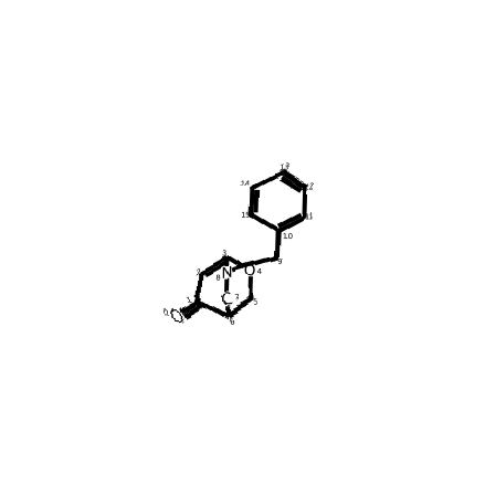 O=C1C=C2OCC1CN2Cc1ccccc1